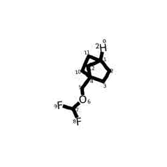 [2H]C12CCC(COC(F)F)(CC1)C2